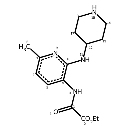 CCOC(=O)C(=O)Nc1ccc(C)nc1NC1CCNCC1